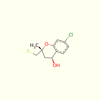 C[C@]1(CF)C[C@H](O)c2ccc(Cl)cc2O1